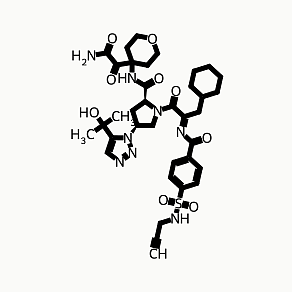 C#CCNS(=O)(=O)c1ccc(C(=O)/N=C(\CC2CCCCC2)C(=O)N2C[C@@H](n3nncc3C(C)(C)O)C[C@H]2C(=O)NC2(C(=O)C(N)=O)CCOCC2)cc1